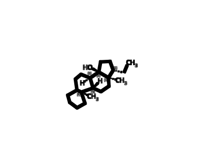 CC[C@H]1CC[C@@]2(O)[C@@H]3CCC4CCCC[C@]4(C)[C@H]3CC[C@]12C